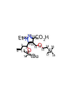 C=CCC(O[Si](C)(C)C(C)(C)C)c1c(COCC[Si](C)(C)C)c(C(=O)O)nn1CC